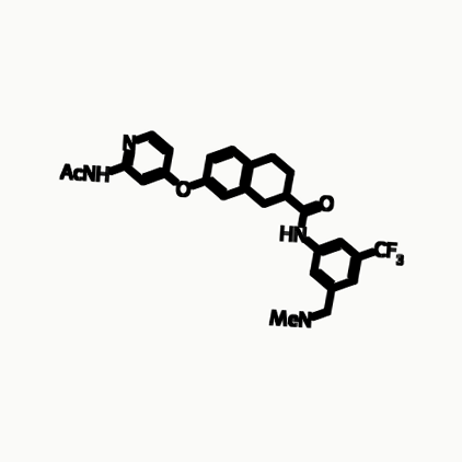 CNCc1cc(NC(=O)C2CCc3ccc(Oc4ccnc(NC(C)=O)c4)cc3C2)cc(C(F)(F)F)c1